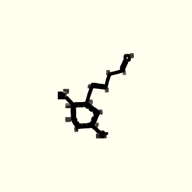 O=CCC=Cc1cc(Br)ccc1Br